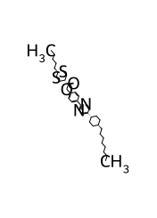 CCCCCCCC[C@H]1CC[C@H](c2cnc(-c3ccc(OC(=O)[C@H]4CS[C@H](CCCCC)SC4)cc3)nc2)CC1